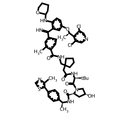 Cc1cc(C(=N)c2cc(O[C@H](C)c3c(Cl)cncc3Cl)ccc2NC2CCCCO2)ccc1C(=O)NCC1(CC(=O)N[C@H](C(=O)N2C[C@H](O)C[C@H]2C(=O)N[C@@H](C)c2ccc(-c3scnc3C)cc2)C(C)(C)C)CCCC1